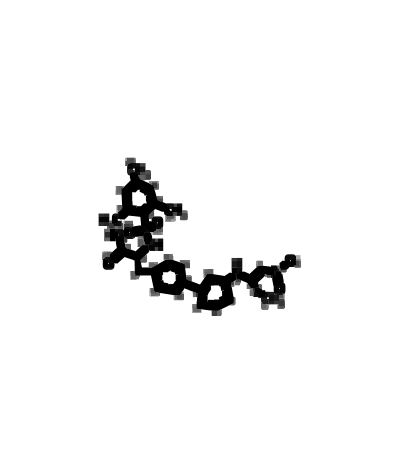 CSC(=C[N+](=O)[O-])Nc1cccc(-c2ccc(C[C@H](NS(=O)(=O)c3c(C)cc(C)cc3C)C(=O)O)cc2)c1